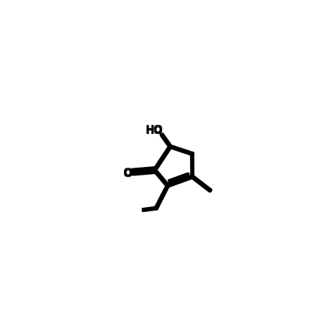 CCC1=C(C)CC(O)C1=O